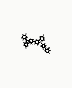 c1ccc(-c2ccc(-n3c4ccccc4c4cc(-c5ccc6c(c5)-c5ccccc5C6c5ccccc5)ccc43)cc2)cc1